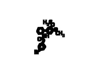 COc1ccc(C2CCCCC2NC(=O)Cc2ccc(Br)cc2)cc1OC